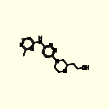 Cc1n[c]cc(Nc2ccc(N3CCOC(CCO)C3)nn2)n1